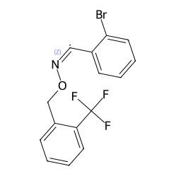 FC(F)(F)c1ccccc1CO/N=[C]\c1ccccc1Br